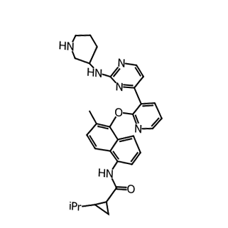 Cc1ccc2c(NC(=O)C3CC3C(C)C)cccc2c1Oc1ncccc1-c1ccnc(NC2CCCNC2)n1